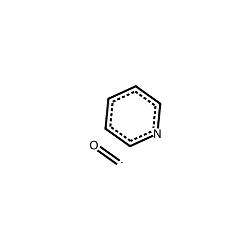 [CH]=O.c1ccncc1